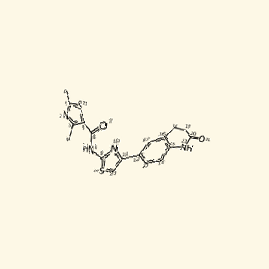 Cc1nc(C)c(C(=O)Nc2nc(-c3ccc4c(c3)CCC(=O)N4)cs2)s1